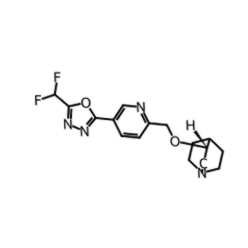 FC(F)c1nnc(-c2ccc(CO[C@H]3CN4CCC3CC4)nc2)o1